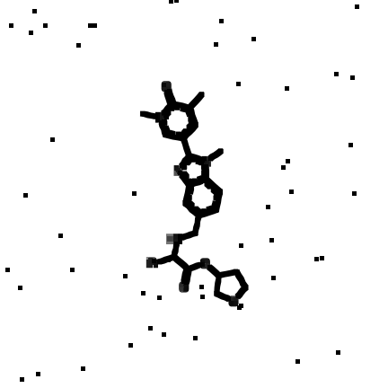 Cc1cc(-c2nc3cc(CNC(C(=O)OC4CCOC4)C(C)C)ccc3n2C)cn(C)c1=O